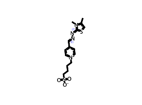 Cc1cs/c(=N\N=C\c2cc[n+](CCCCS(=O)(=O)[O-])cc2)n1C